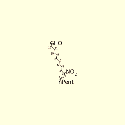 CCCCC/C=C/C(CCCCCCCCC[C]=O)[N+](=O)[O-]